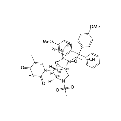 COc1ccc(C(OC[C@@]23CN(S(C)(=O)=O)[C@@H]([C@H](n4cc(C)c(=O)[nH]c4=O)O2)[C@@H]3OP(OCCC#N)N(C(C)C)C(C)C)(c2ccccc2)c2ccc(OC)cc2)cc1